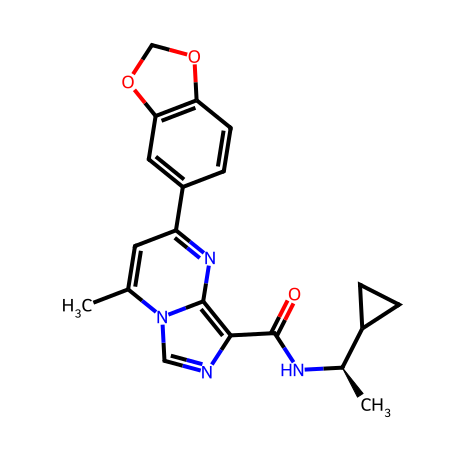 Cc1cc(-c2ccc3c(c2)OCO3)nc2c(C(=O)N[C@H](C)C3CC3)ncn12